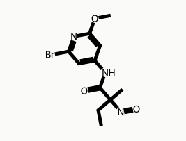 CCC(C)(N=O)C(=O)Nc1cc(Br)nc(OC)c1